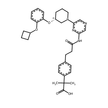 CC(C)(C(=O)O)c1ccc(CCC(=O)Nc2cncc(N3CCC[C@@H](Oc4ccccc4OC4CCC4)C3)n2)cc1